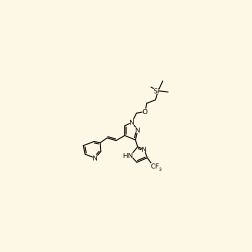 C[Si](C)(C)CCOCn1cc(/C=C/c2cccnc2)c(-c2nc(C(F)(F)F)c[nH]2)n1